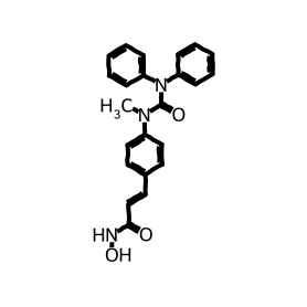 CN(C(=O)N(c1ccccc1)c1ccccc1)c1ccc(C=CC(=O)NO)cc1